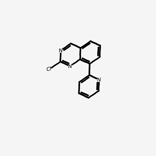 Clc1ncc2cccc(-c3ccccn3)c2n1